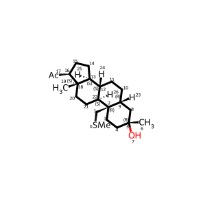 CSC[C@]12CC[C@@](C)(O)C[C@H]1CC[C@H]1[C@@H]3CC[C@H](C(C)=O)[C@@]3(C)CC[C@@H]12